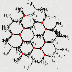 PP(P)P(P(P)P)P(P(P(P)P)P(P)P)P(P(P(P)P)P(P)P)P(P(P(P(P(P)P)P(P)P)P(P(P)P)P(P)P)P(P(P(P)P)P(P)P)P(P(P)P)P(P)P)P(P(P(P(P)P)P(P)P)P(P(P)P)P(P)P)P(P(P(P)P)P(P)P)P(P(P)P)P(P)P